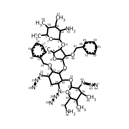 CC1OC(OC2C(C)OC(OC3C(OCc4ccccc4)C(N=[N+]=[N-])CC(N=[N+]=[N-])C3OC3OC(CN)C(C)C(C)C3N=[N+]=[N-])C2OCc2ccccc2)C(N)C(C)C1C